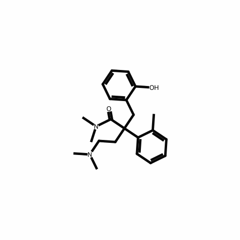 Cc1ccccc1C(CCN(C)C)(Cc1ccccc1O)C(=O)N(C)C